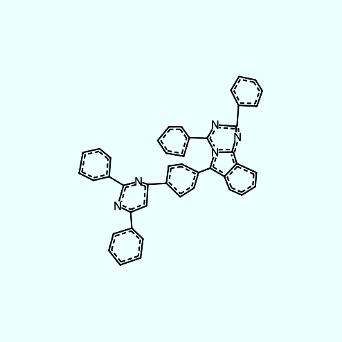 c1ccc(-c2cc(-c3ccc(-c4c5ccccc5c5nc(-c6ccccc6)nc(-c6ccccc6)n45)cc3)nc(-c3ccccc3)n2)cc1